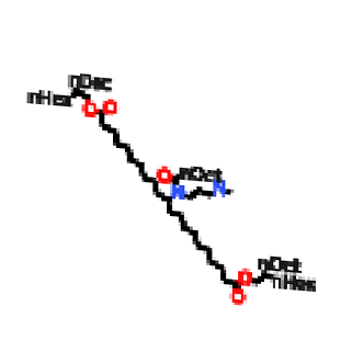 CCCCCCCCCCC(CCCCCC)COC(=O)CCCCCCCCCC(CCCCCCCCCC(=O)OCC(CCCCCC)CCCCCCCC)N(CCCN(C)C)C(=O)CCCCCCCC